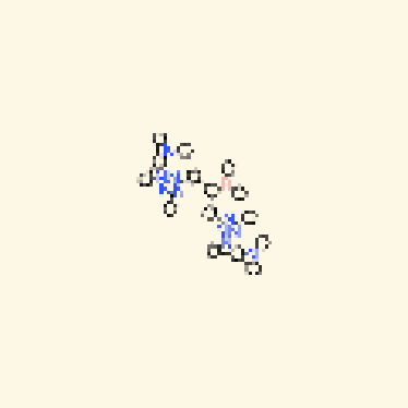 c1ccc(B(c2ccccc2)c2cc(-c3cccc(-c4nc(-c5ccccc5)nc(-n5c6ccccc6c6cc7c8ccccc8n(-c8ccccc8)c7cc65)n4)c3)cc(-c3cccc(-c4nc(-c5ccccc5)nc(-n5c6ccccc6c6cc7c8ccccc8n(-c8ccccc8)c7cc65)n4)c3)c2)cc1